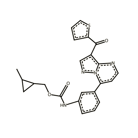 CC1CC1COC(=O)Nc1cccc(-c2ccnc3c(C(=O)c4cccs4)cnn23)c1